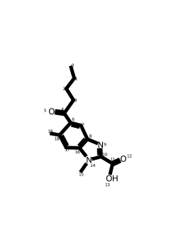 CCCCC(=O)c1cc2nc(C(=O)O)n(C)c2cc1C